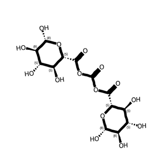 O=C(OC(=O)[C@H]1O[C@@H](O)[C@H](O)[C@@H](O)[C@@H]1O)OC(=O)[C@H]1O[C@@H](O)[C@H](O)[C@@H](O)[C@@H]1O